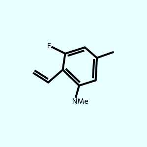 C=Cc1c(F)cc(C)cc1NC